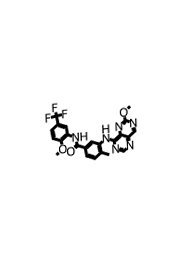 COc1ncc2ncnc(Nc3cc(C(=O)Nc4cc(C(F)(F)F)ccc4OC)ccc3C)c2n1